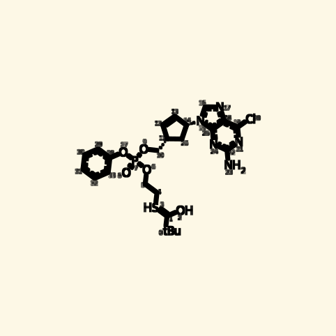 CC(C)(C)C(O)=[SH]CCOP(=O)(OC[C@@H]1C=C[C@H](n2cnc3c(Cl)nc(N)nc32)C1)Oc1ccccc1